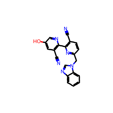 N#Cc1cc(O)cnc1-c1nc(Cn2cnc3ccccc32)ccc1C#N